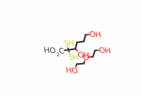 O=C(O)C(S)(S)C(O)CCCO.OCCOCCO